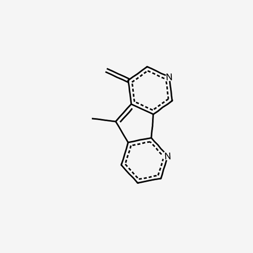 C=c1cncc2c1=C(C)c1cccnc1-2